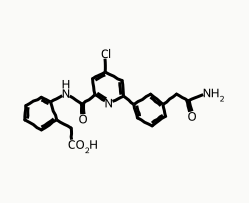 NC(=O)Cc1cccc(-c2cc(Cl)cc(C(=O)Nc3ccccc3CC(=O)O)n2)c1